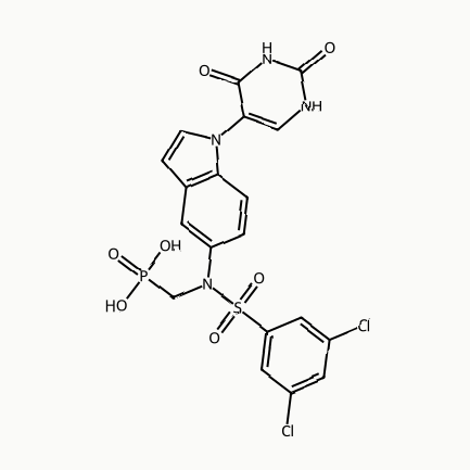 O=c1[nH]cc(-n2ccc3cc(N(CP(=O)(O)O)S(=O)(=O)c4cc(Cl)cc(Cl)c4)ccc32)c(=O)[nH]1